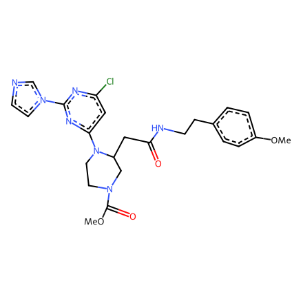 COC(=O)N1CCN(c2cc(Cl)nc(-n3ccnc3)n2)C(CC(=O)NCCc2ccc(OC)cc2)C1